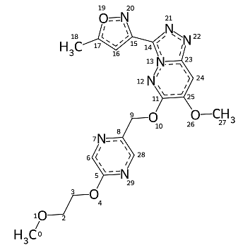 COCCOc1cnc(COc2nn3c(-c4cc(C)on4)nnc3cc2OC)cn1